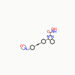 O=C(NO)c1nc(-c2ccc(C#Cc3ccc(CN4CCOCC4)cc3)cc2)c2ccccc2n1